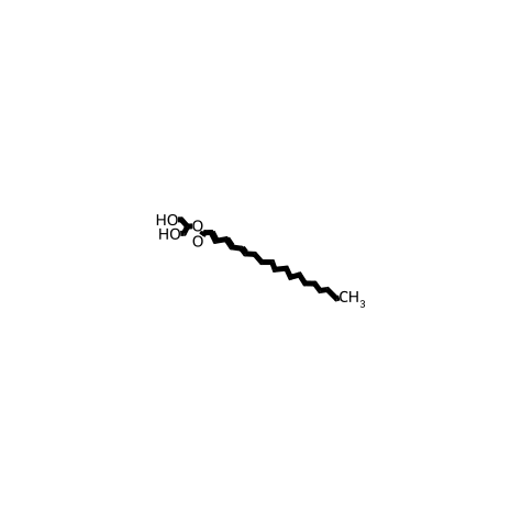 CCCCCCCCCCCCCC=CC=CC=CC(=O)OC(CO)CO